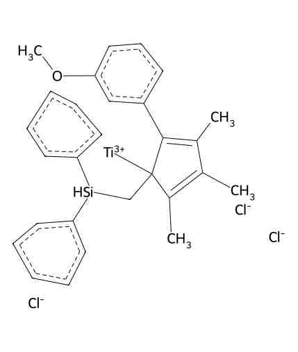 COc1cccc(C2=C(C)C(C)=C(C)[C]2([Ti+3])C[SiH](c2ccccc2)c2ccccc2)c1.[Cl-].[Cl-].[Cl-]